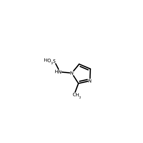 Cc1nccn1NS(=O)(=O)O